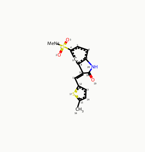 CNS(=O)(=O)c1ccc2c(c1)C(=Cc1ccc(C)s1)C(=O)N2